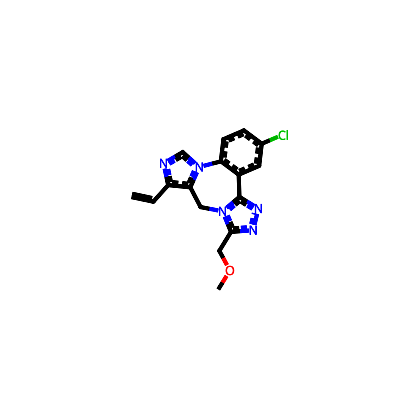 C=Cc1ncn2c1Cn1c(COC)nnc1-c1cc(Cl)ccc1-2